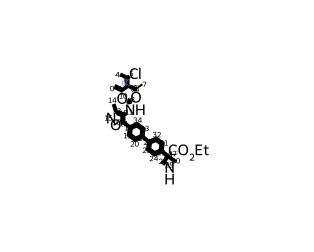 C=C/C(=C(\C)Cl)[C@@H](C)OC(=O)Nc1c(C)noc1-c1ccc(-c2ccc(C3(C(=O)OCC)CNC3)cc2)cc1